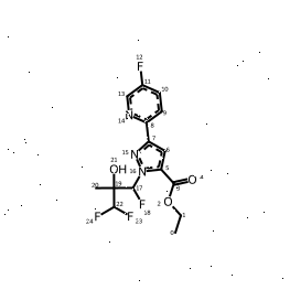 CCOC(=O)c1cc(-c2ccc(F)cn2)nn1C(F)C(C)(O)C(F)F